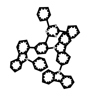 c1ccc(-c2nc(-c3ccccc3)nc(-c3cc(-c4cccc5c6ccccc6n(-c6ccccc6)c45)ccc3-n3c4ccccc4c4ccc(-n5c6ccccc6c6ccccc65)cc43)n2)cc1